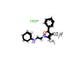 CC1=C(C(=O)O)C(c2ccccc2)ON1CCNC1CCCCC1.Cl